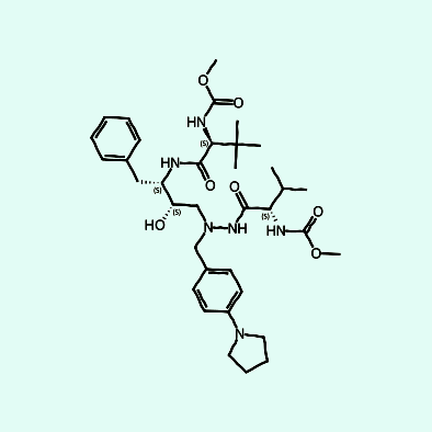 COC(=O)N[C@H](C(=O)NN(Cc1ccc(N2CCCC2)cc1)C[C@H](O)[C@H](Cc1ccccc1)NC(=O)[C@@H](NC(=O)OC)C(C)(C)C)C(C)C